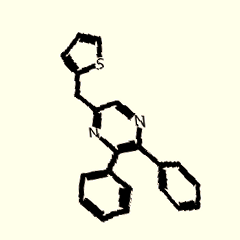 c1ccc(-c2ncc(Cc3cccs3)nc2-c2ccccc2)cc1